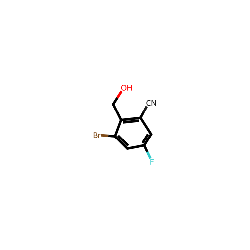 N#Cc1cc(F)cc(Br)c1CO